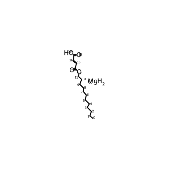 CCCCCCCCCCCCOC(=O)C=CC(=O)O.[MgH2]